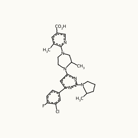 Cc1cc(C(=O)O)cnc1N1CCN(c2cc(-c3ccc(F)c(Cl)c3)nc(N3CCCC3C)n2)C(C)C1